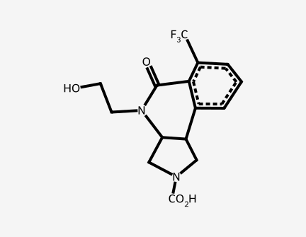 O=C(O)N1CC2c3cccc(C(F)(F)F)c3C(=O)N(CCO)C2C1